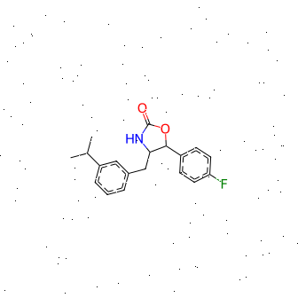 CC(C)c1cccc(CC2NC(=O)OC2c2ccc(F)cc2)c1